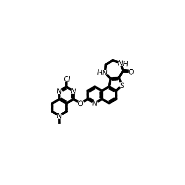 CN1CCc2nc(Cl)nc(Oc3ccc4c(ccc5sc6c(c54)NCCNC6=O)n3)c2C1